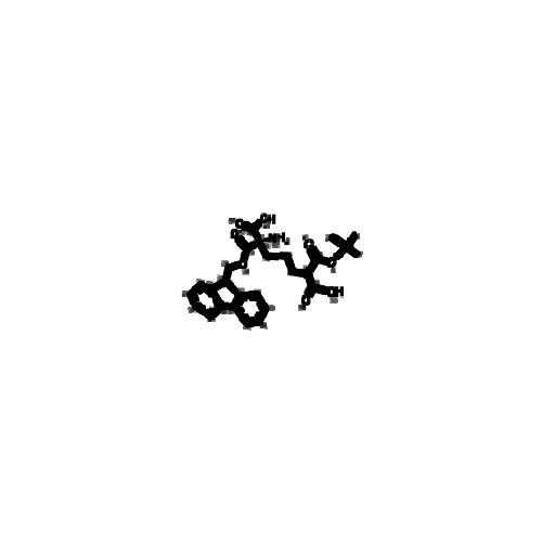 CC(C)(C)OC(=O)C(CCC[C@](N)(C(=O)O)C(=O)OCC1c2ccccc2-c2ccccc21)C(=O)O